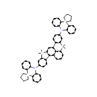 C[Si]1(C)c2cc(N3c4ccccc4[Si]4(CCCC4)c4ccccc43)ccc2-c2c1cc1c3c(cccc23)[Si](C)(C)c2cc(N3c4ccccc4[Si]4(CCCC4)c4ccccc43)ccc2-1